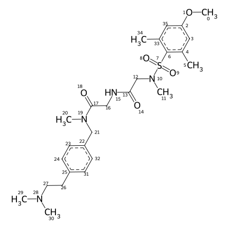 COc1cc(C)c(S(=O)(=O)N(C)CC(=O)NCC(=O)N(C)Cc2ccc(CCN(C)C)cc2)c(C)c1